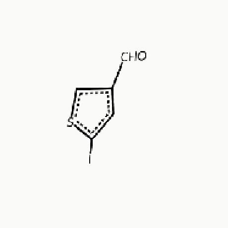 O=Cc1csc(I)c1